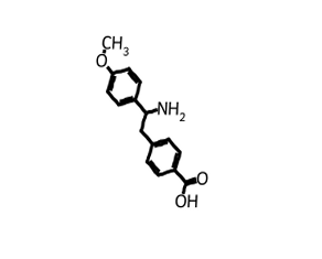 COc1ccc(C(N)Cc2ccc(C(=O)O)cc2)cc1